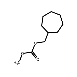 COC(=O)OCC1CCCCCC1